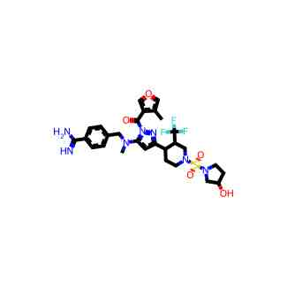 Cc1cocc1C(=O)n1nc(C2CCN(S(=O)(=O)N3CCC(O)C3)CC2C(F)(F)F)cc1N(C)Cc1ccc(C(=N)N)cc1